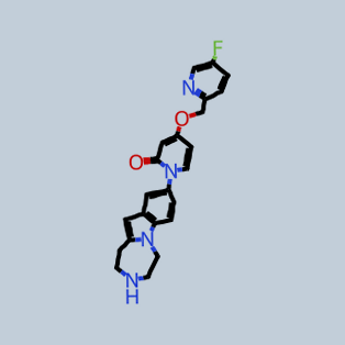 O=c1cc(OCc2ccc(F)cn2)ccn1-c1ccc2c(c1)cc1n2CCNCC1